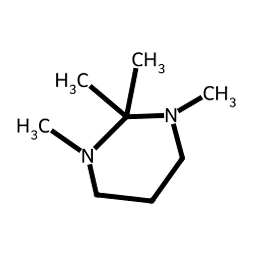 CN1CCCN(C)C1(C)C